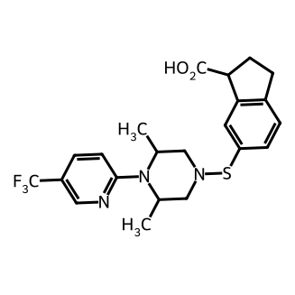 CC1CN(Sc2ccc3c(c2)C(C(=O)O)CC3)CC(C)N1c1ccc(C(F)(F)F)cn1